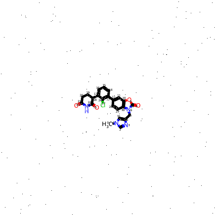 Cn1cnc(Cn2c(=O)oc3cc(-c4cccc(C5CCC(=O)NC5=O)c4Cl)ccc32)c1